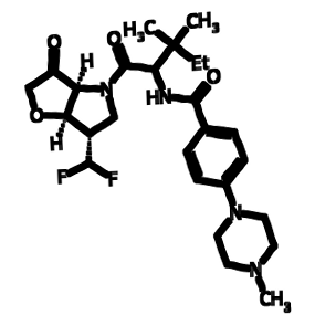 CCC(C)(C)C(NC(=O)c1ccc(N2CCN(C)CC2)cc1)C(=O)N1C[C@H](C(F)F)[C@H]2OCC(=O)[C@H]21